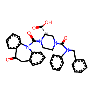 O=C1Cc2ccccc2N(C(=O)N2CCN(C(=O)N(Cc3ccccc3)c3ccccc3)C[C@H]2C(=O)O)c2ccccc21